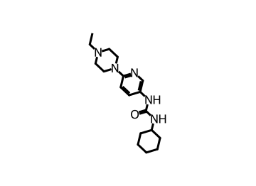 CCN1CCN(c2ccc(NC(=O)NC3CCCCC3)cn2)CC1